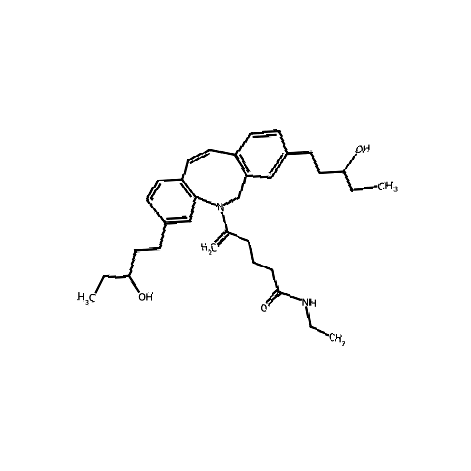 C=C(CCCC(=O)NCC)N1Cc2cc(CCC(O)CC)ccc2/C=C\c2ccc(CCC(O)CC)cc21